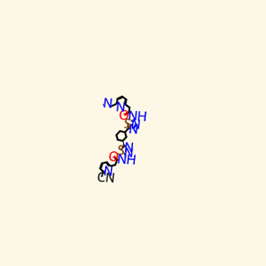 C/N=C/c1cccc(CC(=O)Nc2nnc(C3CCC[C@H](c4nnc(NC(=O)Cc5cccc(C#N)n5)s4)C3)s2)n1